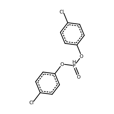 O=[PH](Oc1ccc(Cl)cc1)Oc1ccc(Cl)cc1